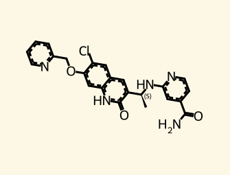 C[C@H](Nc1cc(C(N)=O)ccn1)c1cc2cc(Cl)c(OCc3ccccn3)cc2[nH]c1=O